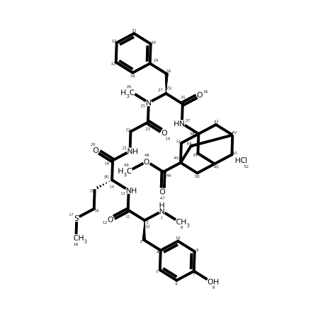 CN[C@@H](Cc1ccc(O)cc1)C(=O)N[C@H](CCSC)C(=O)NCC(=O)N(C)[C@@H](Cc1ccccc1)C(=O)NC12CC3CC(C1)CC(C(=O)OC)(C3)C2.Cl